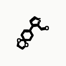 O=Cc1sccc1C1=CCC2(CC1)OCCO2